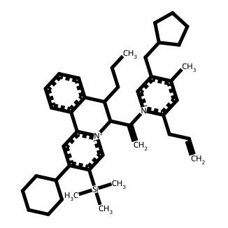 C=CCc1cc(C)c(CC2CCCC2)c[n+]1C(=C)C1C(CCC)c2ccccc2-c2cc(C3CCCCC3)c([Si](C)(C)C)c[n+]21